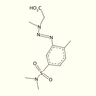 Cc1ccc(S(=O)(=O)N(C)C)cc1/N=N/N(C)CC(=O)O